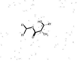 CCC(CC)OC(=O)[C@@H](C)[C@H](O)CC